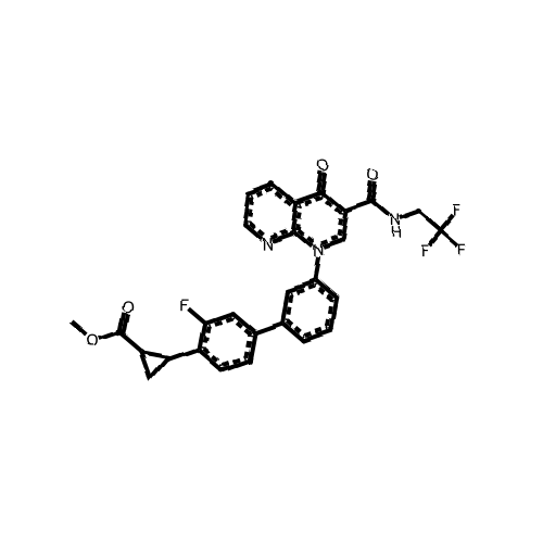 COC(=O)C1CC1c1ccc(-c2cccc(-n3cc(C(=O)NCC(F)(F)F)c(=O)c4cccnc43)c2)cc1F